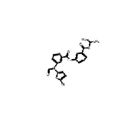 CC(C)OC(=O)c1cccc(NC(=O)c2cccc(N(C=O)c3ccc(Cl)s3)c2)c1